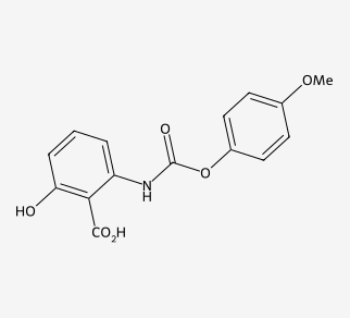 COc1ccc(OC(=O)Nc2cccc(O)c2C(=O)O)cc1